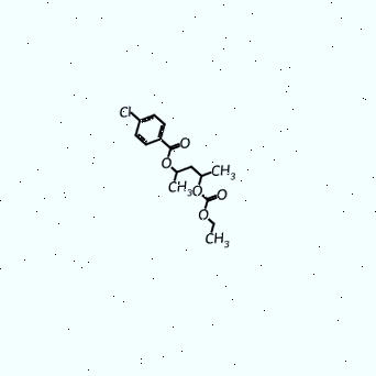 CCOC(=O)OC(C)CC(C)OC(=O)c1ccc(Cl)cc1